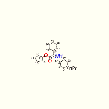 CCCC1CCC(CN[C@H](C(=O)OC2CCCC2)C2CCCCC2)CC1